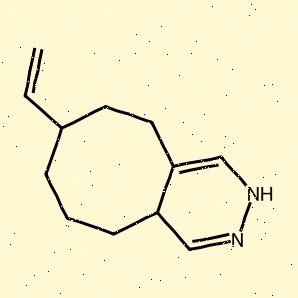 C=CC1CCCC2C=NNC=C2CC1